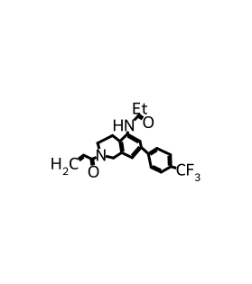 C=CC(=O)N1CCc2c(cc(-c3ccc(C(F)(F)F)cc3)cc2NC(=O)CC)C1